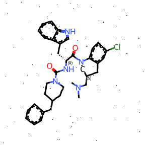 CN(C)C[C@@H]1Cc2cc(Cl)ccc2N(C(=O)[C@@H](Cc2c[nH]c3ccccc23)NC(=O)N2CCC(Cc3ccccc3)CC2)C1